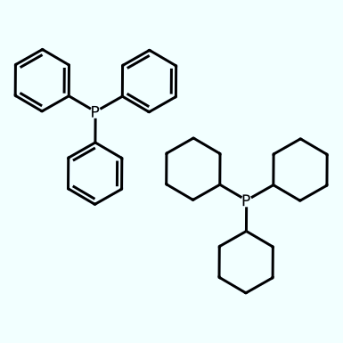 C1CCC(P(C2CCCCC2)C2CCCCC2)CC1.c1ccc(P(c2ccccc2)c2ccccc2)cc1